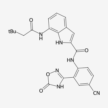 CC(C)(C)CC(=O)Nc1cccc2cc(C(=O)Nc3ccc(C#N)cc3-c3noc(=O)[nH]3)[nH]c12